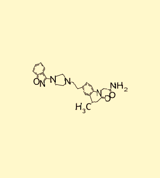 CC1CC(=O)N(CC(N)=O)c2ccc(CCN3CCN(c4noc5ccccc45)CC3)cc21